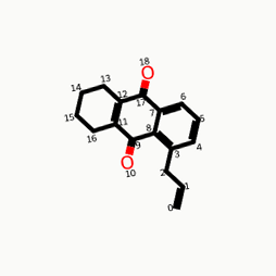 C=CCc1cccc2c1C(=O)C1=C(CCCC1)C2=O